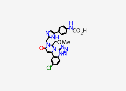 COCc1nc(-c2cc(Cl)ccc2-n2cnnn2)cc(=O)n1Cc1ncc(-c2ccc(NC(=O)O)cc2)[nH]1